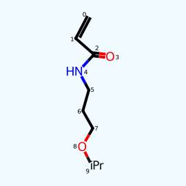 C=CC(=O)NCCCOC(C)C